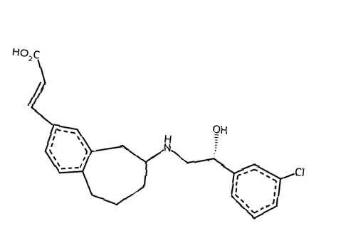 O=C(O)C=Cc1ccc2c(c1)CC(NC[C@H](O)c1cccc(Cl)c1)CCC2